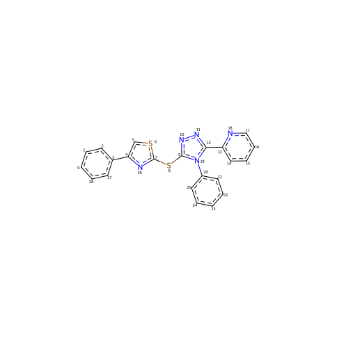 c1ccc(-c2csc(Sc3nnc(-c4ccccn4)n3-c3ccccc3)n2)cc1